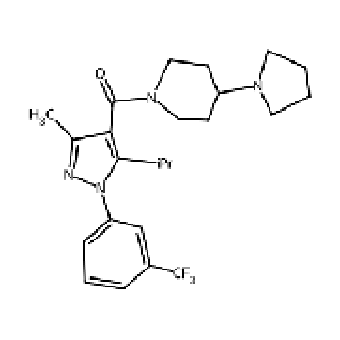 Cc1nn(-c2cccc(C(F)(F)F)c2)c(C(C)C)c1C(=O)N1CCC(N2CCCC2)CC1